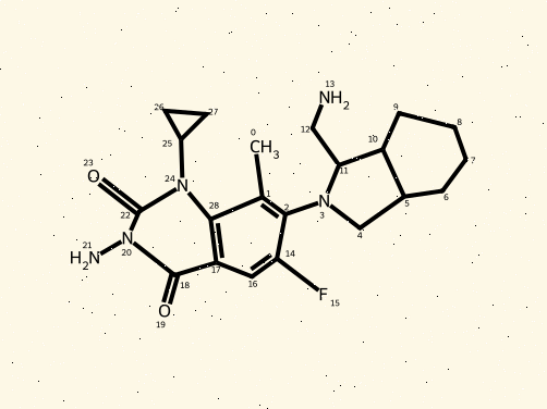 Cc1c(N2CC3CCCCC3C2CN)c(F)cc2c(=O)n(N)c(=O)n(C3CC3)c12